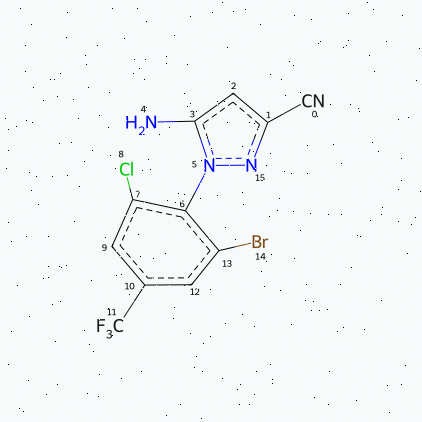 N#Cc1cc(N)n(-c2c(Cl)cc(C(F)(F)F)cc2Br)n1